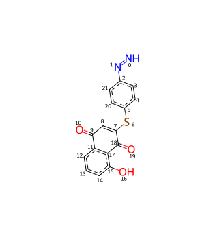 N=Nc1ccc(SC2=CC(=O)c3cccc(O)c3C2=O)cc1